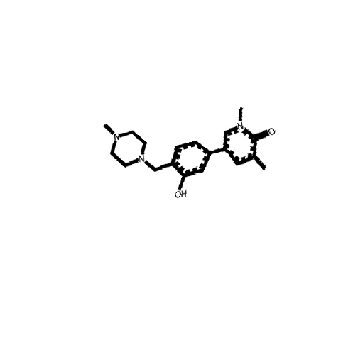 Cc1cc(-c2ccc(CN3CCN(C)CC3)c(O)c2)cn(C)c1=O